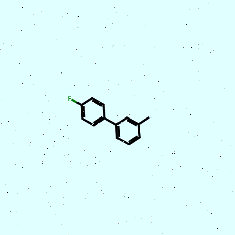 [CH2]c1cccc(-c2ccc(F)cc2)c1